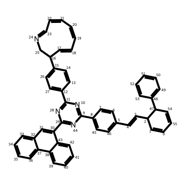 C1=CC(/C=C/c2ccc(-c3nc(-c4ccc(C5/C=C/C=C\C=C/C=N/C5)cc4)nc(-c4cc5ccccc5c5ccccc45)n3)cc2)C(c2ccccc2)C=C1